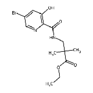 CCOC(=O)C(C)(C)CNC(=O)c1ncc(Br)cc1O